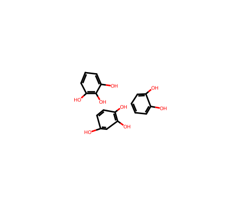 Oc1ccc(O)c(O)c1.Oc1cccc(O)c1O.Oc1ccccc1O